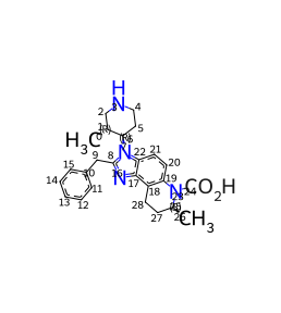 C[C@@H]1CNCC[C@H]1n1c(Cc2ccccc2)nc2c3c(ccc21)N(C(=O)O)[C@@H](C)CC3